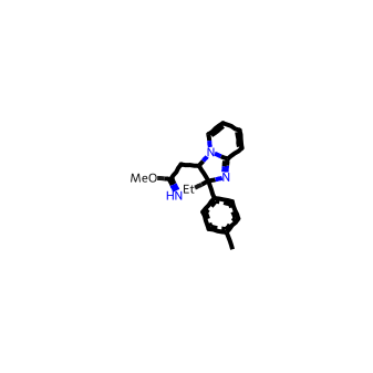 CCC1(c2ccc(C)cc2)N=C2C=CC=CN2C1CC(=N)OC